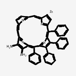 NC1=C(N)C2=C(c3ccccc3)C3=NC(=C(c4ccccc4)C4=NC(=CC5=NC(=CC1=N2)C=C5)C=C4)C(c1ccccc1)=C3c1ccccc1.[Zn]